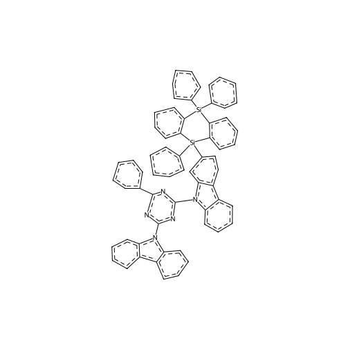 c1ccc(-c2nc(-n3c4ccccc4c4ccccc43)nc(-n3c4ccccc4c4ccc([Si]5(c6ccccc6)c6ccccc6[Si](c6ccccc6)(c6ccccc6)c6ccccc65)cc43)n2)cc1